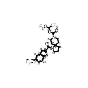 O=C(OC(C(F)(F)F)C(F)(F)F)N1CCC2(CCCN2C(=O)c2cc3cc(C(F)(F)F)ccc3s2)CC1